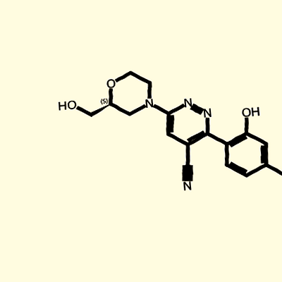 Cc1ccc(-c2nnc(N3CCO[C@H](CO)C3)cc2C#N)c(O)c1